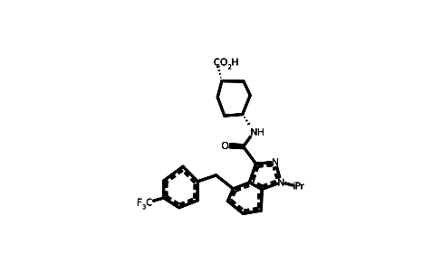 CC(C)n1nc(C(=O)N[C@H]2CC[C@@H](C(=O)O)CC2)c2c(Cc3ccc(C(F)(F)F)cc3)cccc21